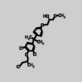 COC[C@@H](O)COc1ccc(C(C)(C)c2cc(Cl)c(OC[C@@H](C)CCl)c(Cl)c2)cc1